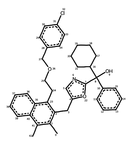 Cc1c(Cc2cnc(C(O)(c3ccccc3)C3CCCCC3)o2)c(CCOCc2ccc(Cl)cc2)c2ccccc2c1C